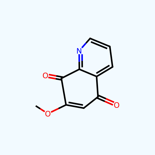 COC1=CC(=O)c2cccnc2C1=O